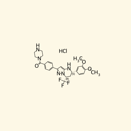 COc1ccc([C@@H]2C[C@H](C(F)(F)F)n3nc(-c4ccc(C(=O)N5CCNCC5)cc4)cc3N2)cc1OC.Cl